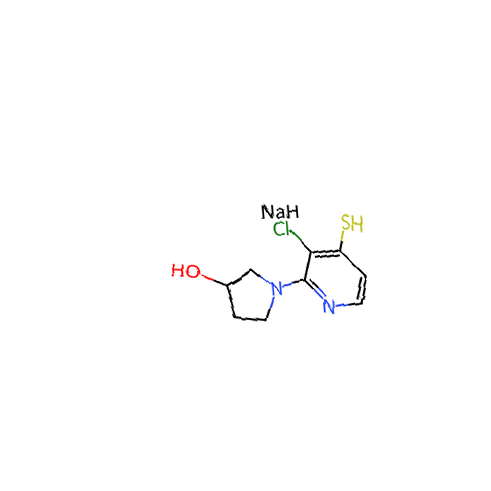 OC1CCN(c2nccc(S)c2Cl)C1.[NaH]